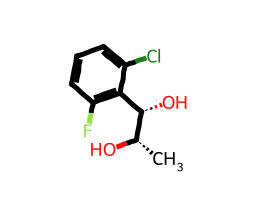 C[C@H](O)[C@@H](O)c1c(F)cccc1Cl